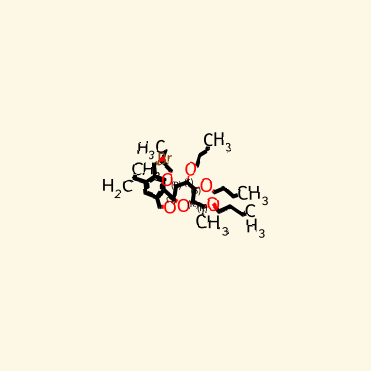 C=C(C)c1cc2c(cc1CBr)[C@]1(OC2)O[C@H]([C@@H](C)OCCCC)[C@@H](OCCCC)[C@H](OCCCC)[C@H]1OCCCC